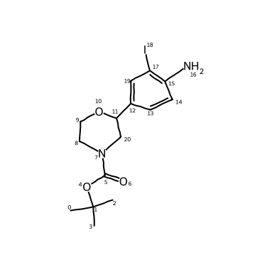 CC(C)(C)OC(=O)N1CCOC(c2ccc(N)c(I)c2)C1